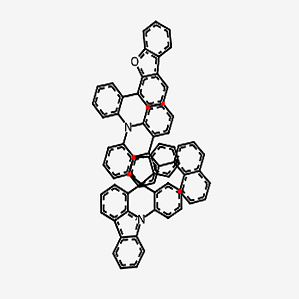 c1ccc(-c2cccc3ccccc23)c(-c2ccccc2N(c2ccccc2-c2cccc3c2oc2ccccc23)c2cccc3c2-c2ccccc2C32c3ccccc3-n3c4ccccc4c4cccc2c43)c1